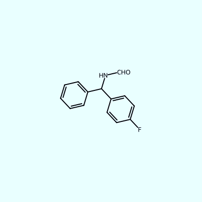 O=CNC(c1ccccc1)c1ccc(F)cc1